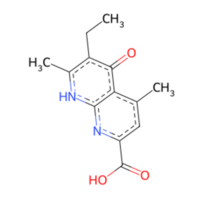 CCc1c(C)[nH]c2nc(C(=O)O)cc(C)c2c1=O